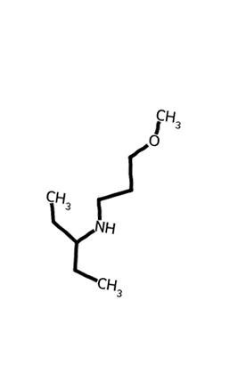 CCC(CC)NCCCOC